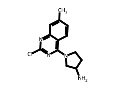 Cc1ccc2c(N3CCC(N)C3)nc(Cl)nc2c1